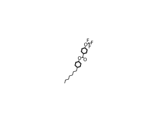 CCCCCCCc1ccc(OC(=O)c2ccc(OC(F)(F)F)cc2)cc1